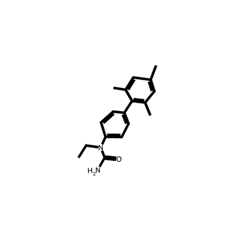 CCN(C(N)=O)c1ccc(-c2c(C)cc(C)cc2C)cc1